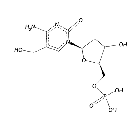 Nc1nc(=O)n([C@H]2CC(O)[C@@H](COP(=O)(O)O)O2)cc1CO